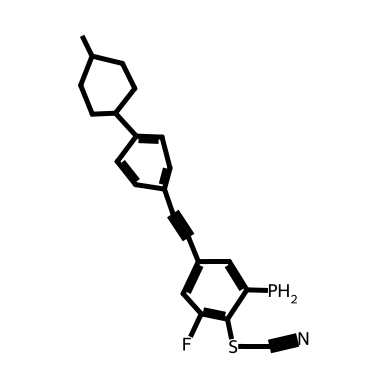 CC1CCC(c2ccc(C#Cc3cc(F)c(SC#N)c(P)c3)cc2)CC1